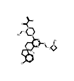 C=C(F)C(=O)N1CCN(c2nc(OC[C@H]3CCN3C(C)C)nc3c2CC[C@@]2(CCc4c(Cl)cccc42)[C@H]3F)C[C@@H]1CC#N